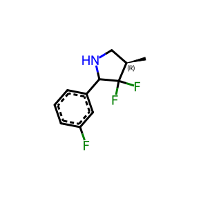 C[C@@H]1CNC(c2cccc(F)c2)C1(F)F